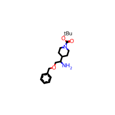 CC(C)(C)OC(=O)N1CCC(C(N)COCc2ccccc2)CC1